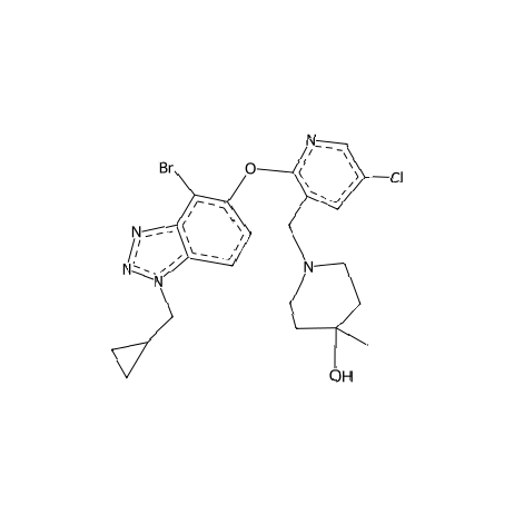 CC1(O)CCN(Cc2cc(Cl)cnc2Oc2ccc3c(nnn3CC3CC3)c2Br)CC1